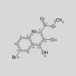 COC(=O)c1nc2ccc(Br)cc2c(O)c1Cl